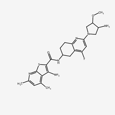 COC1CN(c2cc(F)c3c(n2)CCC(NC(=O)c2sc4nc(C)cc(C)c4c2N)C3)CC1N